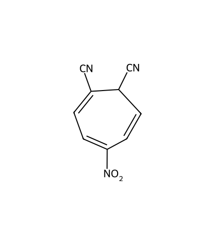 N#CC1=CC=C([N+](=O)[O-])C=CC1C#N